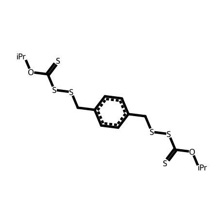 CC(C)OC(=S)SSCc1ccc(CSSC(=S)OC(C)C)cc1